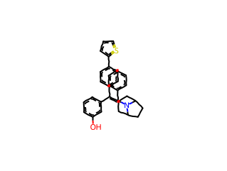 Oc1cccc(C(=C2CC3CCC(C2)N3Cc2ccccc2)c2ccc(-c3cccs3)cc2)c1